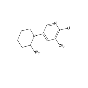 Cc1cc(N2CCCCC2N)cnc1Cl